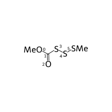 COC(=O)SSSC